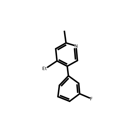 CCc1cc(C)ncc1-c1cccc(F)c1